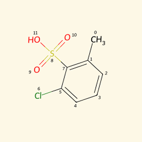 Cc1cccc(Cl)c1S(=O)(=O)O